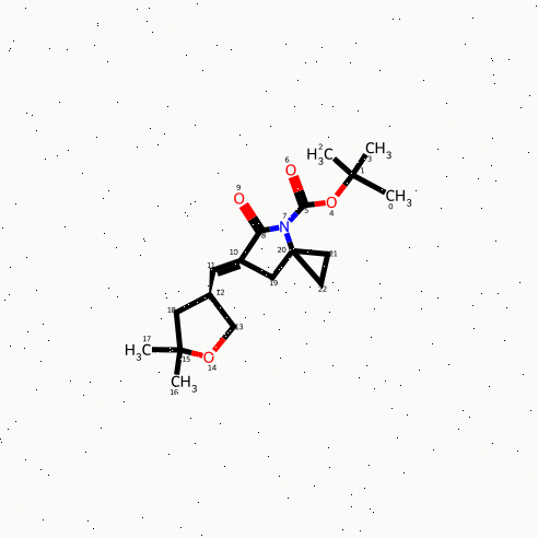 CC(C)(C)OC(=O)N1C(=O)/C(=C/[C@H]2COC(C)(C)C2)CC12CC2